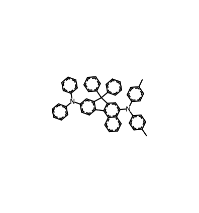 Cc1ccc(N(c2ccc(C)cc2)c2cc3c(c4ccccc24)-c2ccc(N(c4ccccc4)c4ccccc4)cc2C3(c2ccccc2)c2ccccc2)cc1